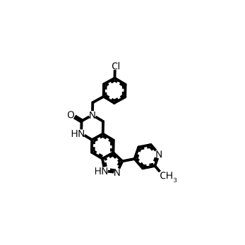 Cc1cc(-c2n[nH]c3cc4c(cc23)CN(Cc2cccc(Cl)c2)C(=O)N4)ccn1